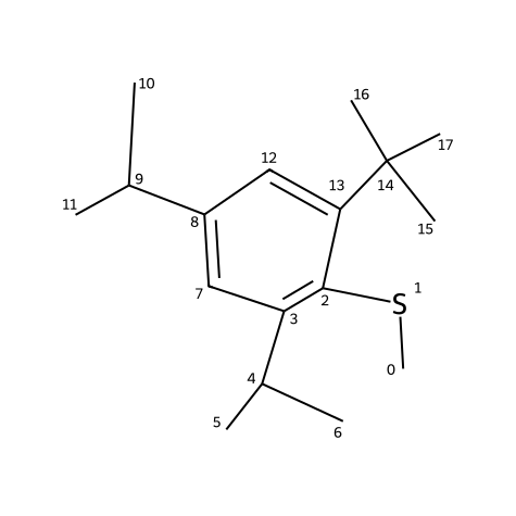 CSc1c(C(C)C)cc(C(C)C)cc1C(C)(C)C